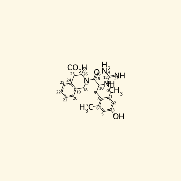 Cc1cc(O)cc(C)c1CC(NC(=N)N)C(=O)N1Cc2ccccc2CC1C(=O)O